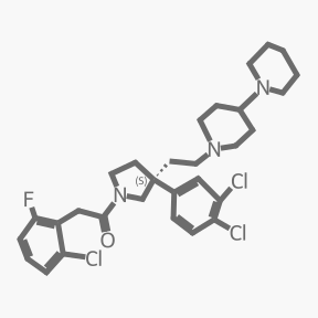 O=C(Cc1c(F)cccc1Cl)N1CC[C@@](CCN2CCC(N3CCCCC3)CC2)(c2ccc(Cl)c(Cl)c2)C1